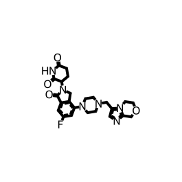 O=C1CCC(N2Cc3c(cc(F)cc3N3CCN(Cc4cnc5n4CCOC5)CC3)C2=O)C(=O)N1